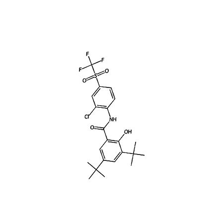 CC(C)(C)c1cc(C(=O)Nc2ccc(S(=O)(=O)C(F)(F)F)cc2Cl)c(O)c(C(C)(C)C)c1